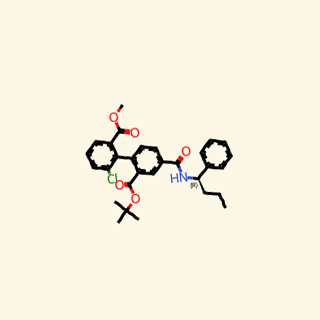 CCC[C@@H](NC(=O)c1ccc(-c2c(Cl)cccc2C(=O)OC)c(C(=O)OC(C)(C)C)c1)c1ccccc1